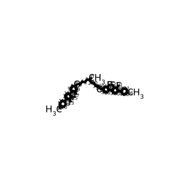 CC(CCCCOc1ccc(-c2ccc(C3CCC(C)CC3)c(F)c2F)c(F)c1)CCCCOc1ccc(-c2ccc(C3CCC(C)CC3)c(F)c2F)c(F)c1